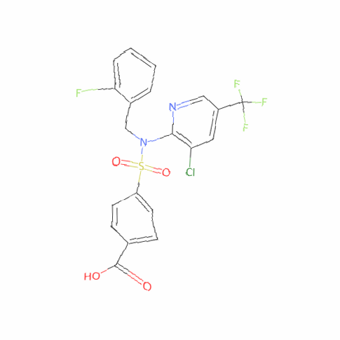 O=C(O)c1ccc(S(=O)(=O)N(Cc2ccccc2F)c2ncc(C(F)(F)F)cc2Cl)cc1